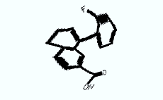 O=C(O)c1ccc2c(c1)C(c1ccccc1F)=CCC2